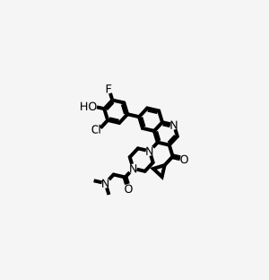 CN(C)CC(=O)N1CCN(c2c(C(=O)C3CC3)cnc3ccc(-c4cc(F)c(O)c(Cl)c4)cc23)CC1